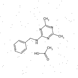 CC(=O)O.Cc1nc(C)nc(NCc2ccccc2)n1